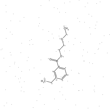 CCOCCOC(=O)c1cccc(CC)c1